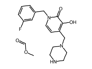 COC=O.O=c1c(O)c(CN2CCNCC2)ccn1Cc1cccc(F)c1